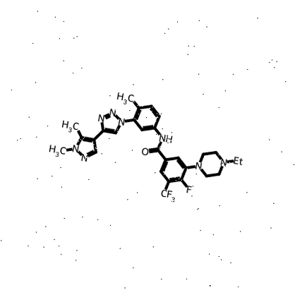 CCN1CCN(c2cc(C(=O)Nc3ccc(C)c(-n4cc(-c5cnn(C)c5C)nn4)c3)cc(C(F)(F)F)c2F)CC1